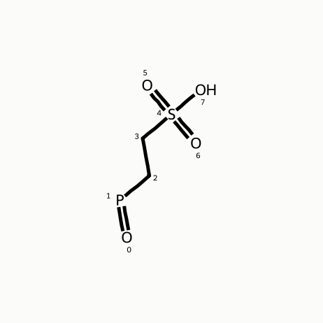 O=PCCS(=O)(=O)O